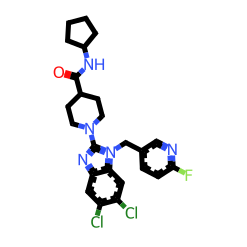 O=C(NC1CCCC1)C1CCN(c2nc3cc(Cl)c(Cl)cc3n2Cc2ccc(F)nc2)CC1